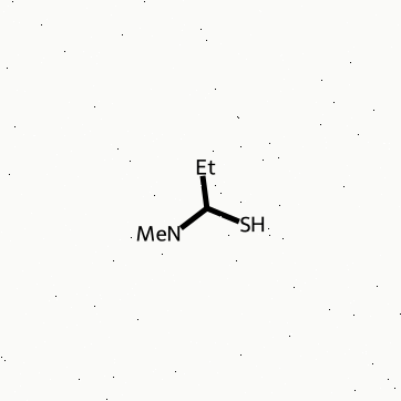 CCC(S)NC